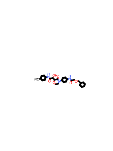 N#Cc1ccc(NC(=O)[C@H](O)[C@H]2OCCN(c3ccc(NC(=O)COCc4ccccc4)cc3)C2=O)cc1